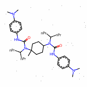 CCCC(CCC)N(C(=O)Nc1ccc(N(C)C)cc1)C1CCC(C)(N(C(=O)Nc2ccc(N(C)C)cc2)C(CCC)CCC)CC1